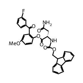 COc1ccc(OC(=O)[C@H](CC(N)=O)NC(=O)OCC2c3ccccc3-c3ccccc32)c(C(=O)c2cccc(F)c2)c1